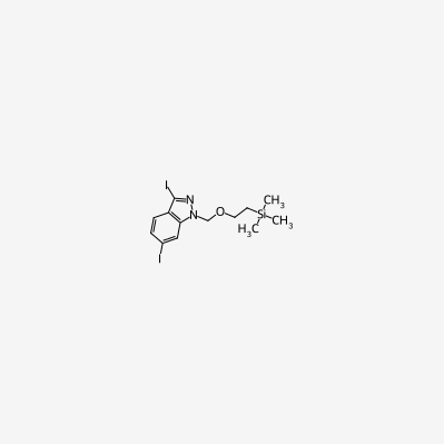 C[Si](C)(C)CCOCn1nc(I)c2ccc(I)cc21